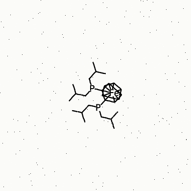 CC(C)CP(CC(C)C)[C]12[CH]3[CH]4[CH]5[C]1(P(CC(C)C)CC(C)C)[Fe]43521678[CH]2[CH]1[CH]6[CH]7[CH]28